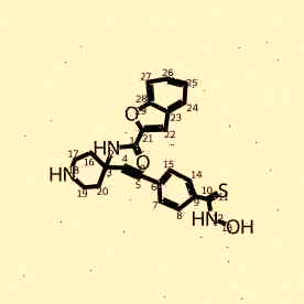 O=C(NC1(C#Cc2ccc(C(=S)NO)cc2)CCNCC1)c1cc2ccccc2o1